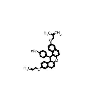 C=CCOc1ccc2c3c(ccc2c1)Oc1ccc2cc(OCC(=C)C)ccc2c1C3c1ccc(CCC)cc1